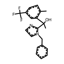 Cc1ccc(C(F)(F)F)cc1C(C)(O)c1nccn1Cc1ccccc1